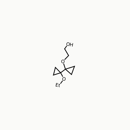 [CH2]COC1(C2(OCCO)CC2)CC1